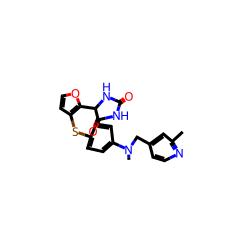 Cc1cc(CN(C)c2ccc(Sc3ccoc3C3NC(=O)NC3=O)cc2)ccn1